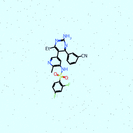 CCc1nc(N)nc(-c2cccc(C#N)c2)c1-c1cnc(C)c(NS(=O)(=O)c2ccc(F)cc2F)c1